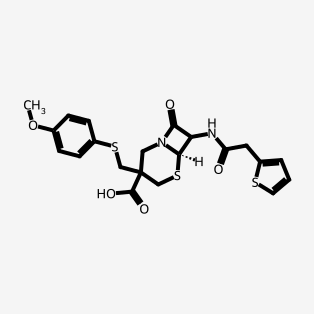 COc1ccc(SCC2(C(=O)O)CS[C@@H]3C(NC(=O)Cc4cccs4)C(=O)N3C2)cc1